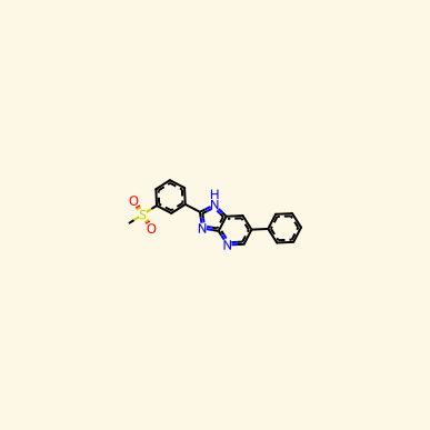 CS(=O)(=O)c1cccc(-c2nc3ncc(-c4ccccc4)cc3[nH]2)c1